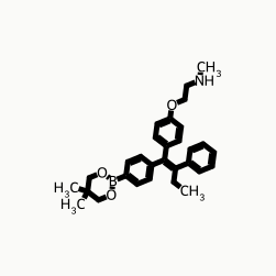 CC/C(=C(/c1ccc(OCCNC)cc1)c1ccc(B2OCC(C)(C)CO2)cc1)c1ccccc1